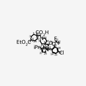 CCOC(=O)N1CCC(CN2CCC(C(=O)Nc3ccc(Cl)cc3OC(F)F)(n3nccc3C(C)C)CC2)(C(=O)O)CC1